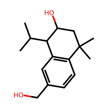 CC(C)C1c2cc(CO)ccc2C(C)(C)CC1O